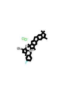 CCC1=[C]([Zr+2](=[CH]c2ccc(F)cc2)[C]2=C(C)c3cc4c(cc3C2(C)C)Cc2cc3c(cc2-4)C(C)=CC3(C)C)C(C)C=C1C(C)(C)C.[Cl-].[Cl-]